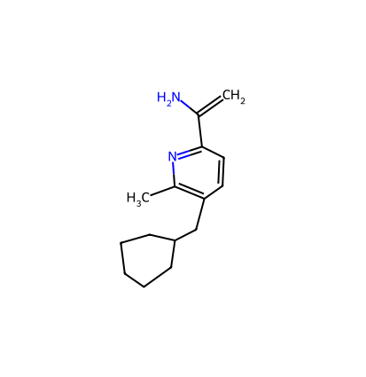 C=C(N)c1ccc(CC2CCCCC2)c(C)n1